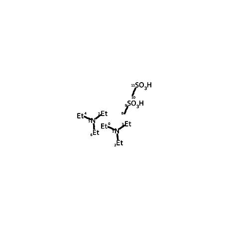 CCN(CC)CC.CCN(CC)CC.CS(=O)(=O)O.CS(=O)(=O)O